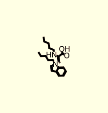 CCCCCNC(=C[N+]1(CCCCC)C=Cc2ccccc21)C(=O)O